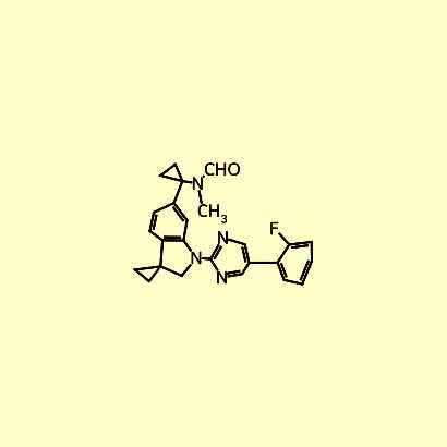 CN(C=O)C1(c2ccc3c(c2)N(c2ncc(-c4ccccc4F)cn2)CC32CC2)CC1